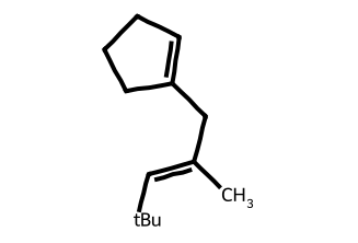 CC(=CC(C)(C)C)CC1=CCCC1